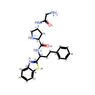 NCC(=O)N[C@H]1CN[C@H](C(=O)NC(CCc2ccccc2)c2nc3ccccc3s2)C1